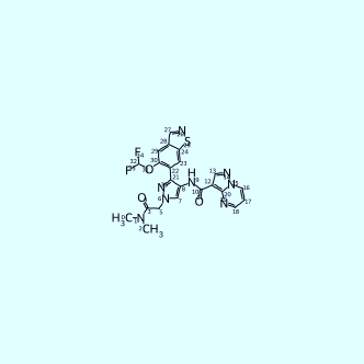 CN(C)C(=O)Cn1cc(NC(=O)c2cnn3cccnc23)c(-c2cc3sncc3cc2OC(F)F)n1